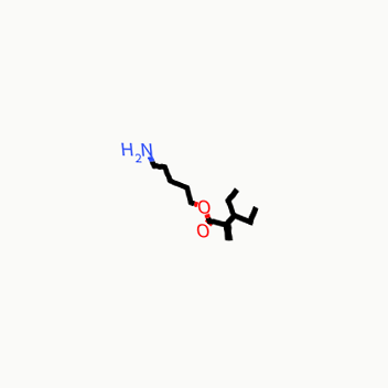 C=C(C(=O)OCCCCCN)C(CC)CC